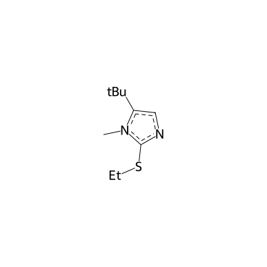 CCSc1ncc(C(C)(C)C)n1C